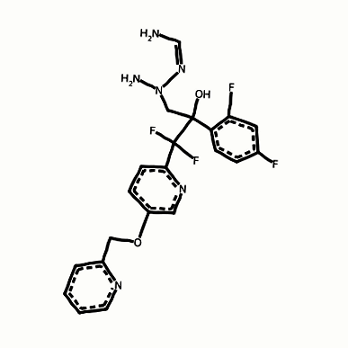 N/C=N\N(N)CC(O)(c1ccc(F)cc1F)C(F)(F)c1ccc(OCc2ccccn2)cn1